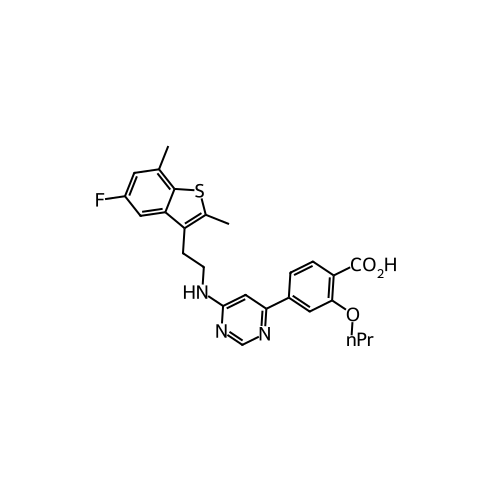 CCCOc1cc(-c2cc(NCCc3c(C)sc4c(C)cc(F)cc34)ncn2)ccc1C(=O)O